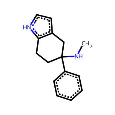 CNC1(c2ccccc2)CCc2[nH]ccc2C1